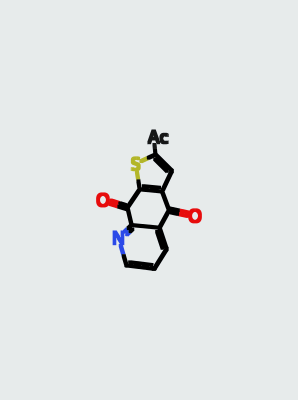 CC(=O)c1cc2c(s1)C(=O)c1ncccc1C2=O